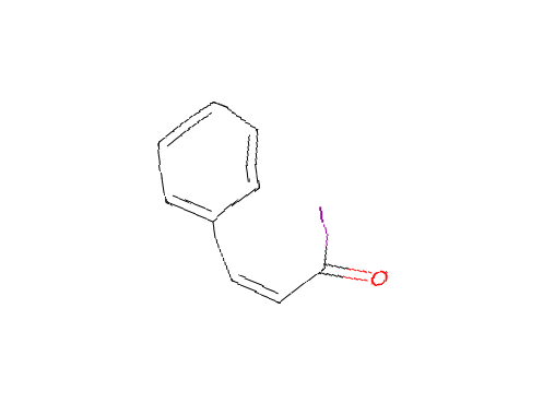 O=C(I)/C=C\c1ccccc1